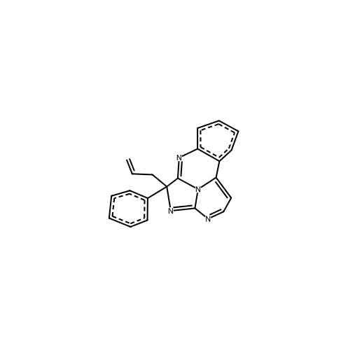 C=CCC1(c2ccccc2)N=C2N=CC=C3c4ccccc4N=C1N32